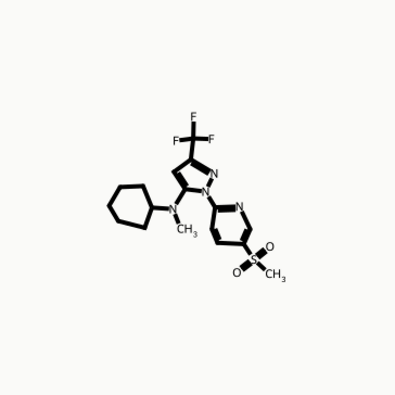 CN(c1cc(C(F)(F)F)nn1-c1ccc(S(C)(=O)=O)cn1)C1CCCCC1